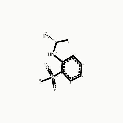 CC(C)[C@H](C)Nc1ccccc1S(C)(=O)=O